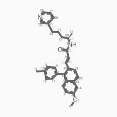 COc1ccc2c(-c3ccc(C)cc3)c(/C=C/C(=O)N[C@H](C)CCCc3cccnc3)ccc2c1